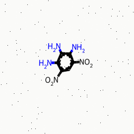 Nc1c([N+](=O)[O-])cc([N+](=O)[O-])c(N)c1N